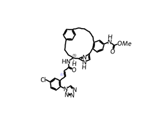 COC(=O)Nc1ccc2c(c1)CCCCc1ccc(cc1)CC[C@H](NC(=O)/C=C/c1cc(Cl)ccc1-n1cnnn1)c1nc-2c[nH]1